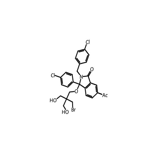 CC(=O)c1ccc2c(c1)C(=O)N(Cc1ccc(Cl)cc1)C2(OCC(CO)(CO)CBr)c1ccc(Cl)cc1